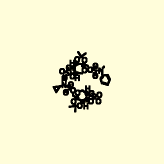 CC1(C)O[C@H]2[C@@H]3OS(=O)(=O)O[C@@H]3CO[C@@]2(COS(=O)(=O)NC2CC2)O1.CN(c1ccccc1)S(=O)(=O)OC[C@@]12OC[C@H]3OS(=O)(=O)O[C@H]3[C@@H]1OC(C)(C)O2